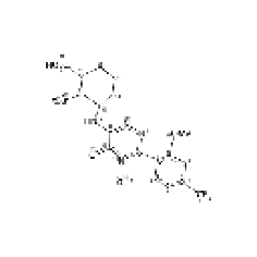 COc1cc(C(F)(F)F)ccc1-c1nnc(NC2CCCN(C(=O)O)C2C(C)(C)C)c(=O)n1C